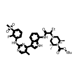 CCC(C(=O)Nc1cccc2c(-c3nc(Nc4cccc(S(C)(=O)=O)c4F)ncc3C)c[nH]c12)N1C[C@@H](C)N(C(=O)OC(C)(C)C)[C@H](C)C1